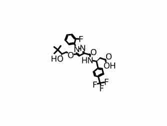 CC(C)(C)[C@@H](O)COc1cc(C(=O)N[C@@H](CC(=O)O)c2ccc(C(F)(F)F)cc2)nn1-c1ccccc1F